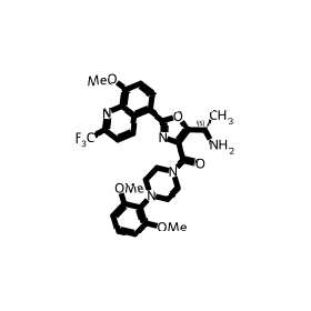 COc1cccc(OC)c1N1CCN(C(=O)c2nc(-c3ccc(OC)c4nc(C(F)(F)F)ccc34)oc2[C@H](C)N)CC1